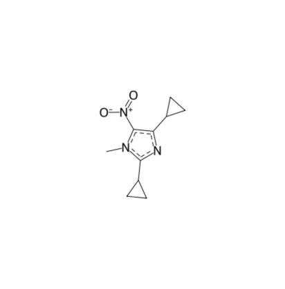 Cn1c(C2CC2)nc(C2CC2)c1[N+](=O)[O-]